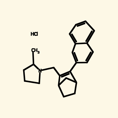 CC1CCCN1CC1=C(c2ccc3ccccc3c2)C2CCC1C2.Cl